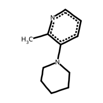 Cc1ncccc1N1CCCCC1